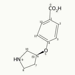 O=C(O)c1ccc(O[C@H]2CCNC2)cc1